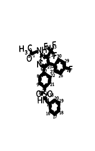 CC(=O)Nn1nc(-c2ccc(S(=O)(=O)Nc3ccccc3)cc2)c(-c2ccc(F)cc2)c1C(F)(F)F